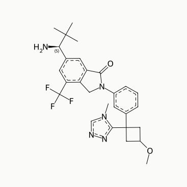 COC1CC(c2cccc(N3Cc4c(cc([C@@H](N)C(C)(C)C)cc4C(F)(F)F)C3=O)c2)(c2nncn2C)C1